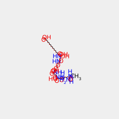 CNN[C@@H](CCCCNC(=O)CC[C@H](NC(=O)CC[C@H](NC(=O)COCCOCCNC(=O)CC[C@H](NC(=O)CCCCCCCCCCCCCCCCC(=O)O)C(O)O)C(=O)O)C(=O)O)C(N)=O